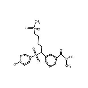 CN(C)C(=O)c1cccc(C(CCCCS(C)(=O)=O)S(=O)(=O)c2ccc(Cl)cc2)c1